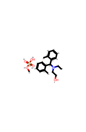 CCN(CCO)C(c1ccccc1C)c1ccccc1C.COS(=O)(=O)O